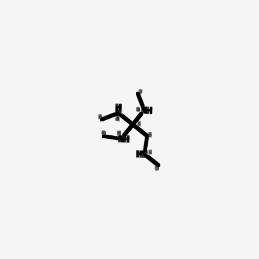 CNCC(NC)(NC)NC